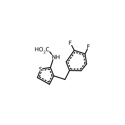 O=C(O)Nc1sccc1Cc1ccc(F)c(F)c1